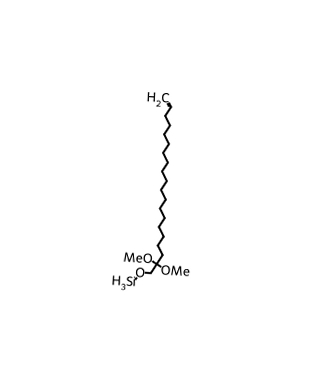 C=CCCCCCCCCCCCCCCCCC(CO[SiH3])(OC)OC